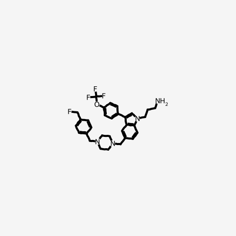 NCCCn1cc(-c2ccc(OC(F)(F)F)cc2)c2cc(CN3CCN(Cc4ccc(CF)cc4)CC3)ccc21